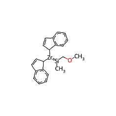 COC[Si](C)=[Zr]([CH]1C=Cc2ccccc21)[CH]1C=Cc2ccccc21